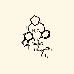 Cc1c(CN2CCC[C@H](Nc3ccc4[nH]ncc4c3)C2)cccc1NS(=O)(=O)NN(C)C